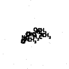 CN(C)CCN(C)C(=O)C1CCCN(c2cccc(-c3nc4ccccc4n3C)c2)C1